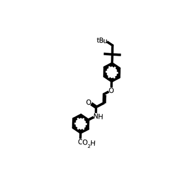 CC(C)(C)CC(C)(C)c1ccc(OC=CC(=O)Nc2cccc(C(=O)O)c2)cc1